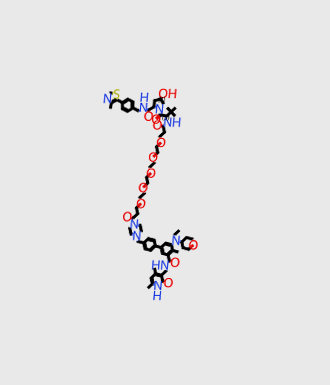 CCN(c1cc(-c2ccc(CN3CCN(C(=O)CCOCCOCCOCCOCCOCCC(=O)N[C@H](C(=O)N4C[C@H](O)CC4C(=O)NCc4ccc(-c5scnc5C)cc4)C(C)(C)C)CC3)cc2)cc(C(=O)NCc2c(C)cc(C)[nH]c2=O)c1C)C1CCOCC1